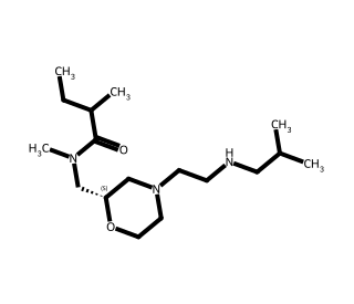 CCC(C)C(=O)N(C)C[C@@H]1CN(CCNCC(C)C)CCO1